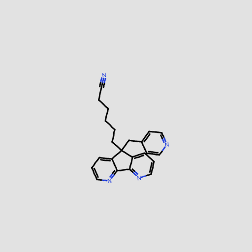 N#CCCCCCC1(Cc2ccncc2)c2cccnc2-c2ncccc21